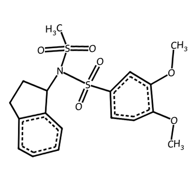 COc1ccc(S(=O)(=O)N(C2CCc3ccccc32)S(C)(=O)=O)cc1OC